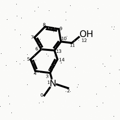 CN(C)c1ccc2cccc(CO)c2c1